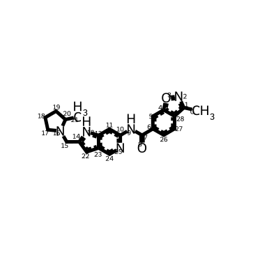 Cc1noc2cc(C(=O)Nc3cc4[nH]c(CN5CCCC5C)cc4cn3)ccc12